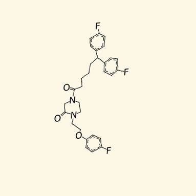 O=C1CN(C(=O)CCCCC(c2ccc(F)cc2)c2ccc(F)cc2)CCN1CCOc1ccc(F)cc1